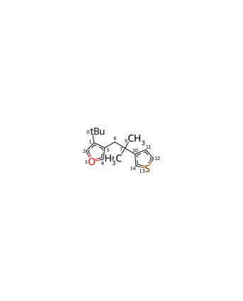 CC(C)(C)c1cocc1CC(C)(C)c1ccsc1